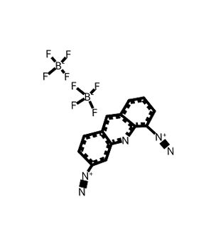 F[B-](F)(F)F.F[B-](F)(F)F.N#[N+]c1ccc2cc3cccc([N+]#N)c3nc2c1